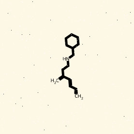 C=CC=CC(=C)CCNCC1CCCCC1